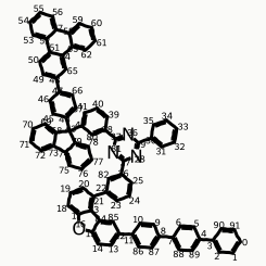 c1ccc(-c2ccc(-c3ccc(-c4ccc5oc6cccc(-c7cccc(-c8nc(-c9ccccc9)nc(-c9cccc(C%10(c%11ccc(-c%12ccc%13c%14ccccc%14c%14ccccc%14c%13c%12)cc%11)c%11ccccc%11-c%11ccccc%11%10)c9)n8)c7)c6c5c4)cc3)cc2)cc1